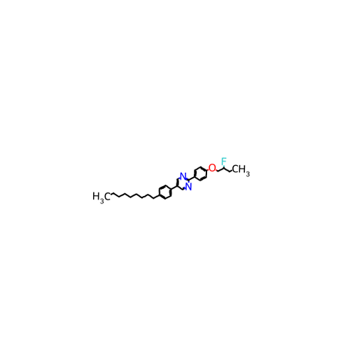 CCCCCCCCCc1ccc(-c2cnc(-c3ccc(OCC(F)CC)cc3)nc2)cc1